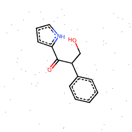 O=C(c1ccc[nH]1)C(CO)c1ccccc1